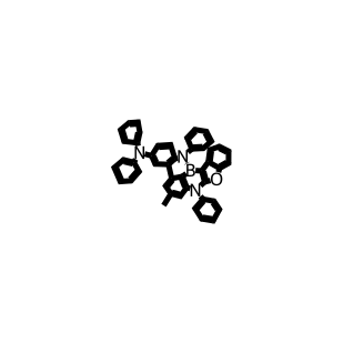 Cc1cc2c3c(c1)N(c1ccccc1)c1oc4ccccc4c1B3N(c1ccccc1)c1ccc(N(c3ccccc3)c3ccccc3)cc1-2